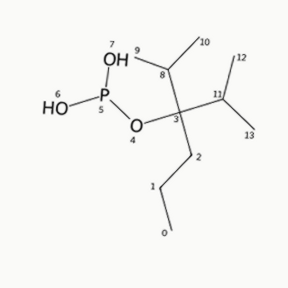 CCCC(OP(O)O)(C(C)C)C(C)C